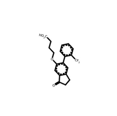 O=C(O)CCCOc1cc2c(cc1-c1ccccc1C(F)(F)F)CCC2=O